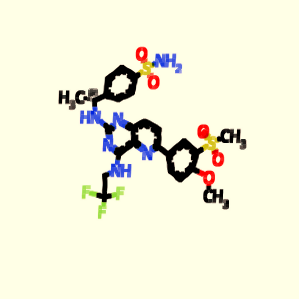 COc1ccc(-c2ccc3nc(N[C@H](C)c4ccc(S(N)(=O)=O)cc4)nc(NCC(F)(F)F)c3n2)cc1S(C)(=O)=O